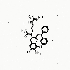 NC(=O)[C@@H](CCCNC(N)=N[N+](=O)[O-])N(Cc1cc(Cl)c(N)c(Cl)c1)C(=O)CC(c1ccccc1)c1ccccc1